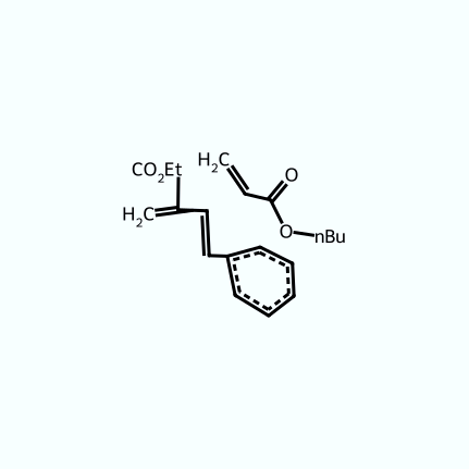 C=C(C=Cc1ccccc1)C(=O)OCC.C=CC(=O)OCCCC